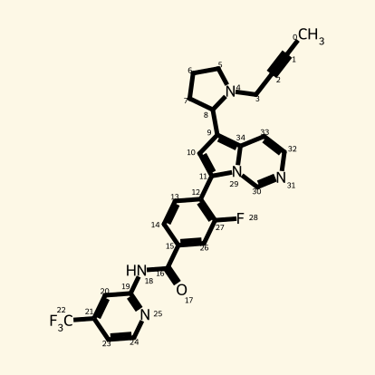 CC#CCN1CCCC1c1cc(-c2ccc(C(=O)Nc3cc(C(F)(F)F)ccn3)cc2F)n2cnccc12